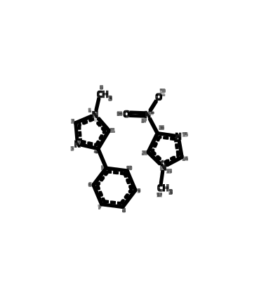 Cn1cnc(-c2ccccc2)c1.Cn1cnc([N+](=O)[O-])c1